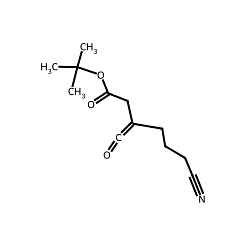 CC(C)(C)OC(=O)CC(=C=O)CCCC#N